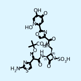 CC(C)(ON=C(C(=O)N[C@@H]1C(=O)N(S(=O)(=O)O)[C@@H]1CNC(=O)c1coc(-c2cc(=O)c(O)cn2O)n1)c1csc(N)n1)C(=O)O